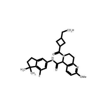 COc1ccc2c(n1)CCN(C(=O)C1CC(CC(=O)O)C1)C2C(=O)Nc1cc(F)c2c(c1)CCC2(C)C